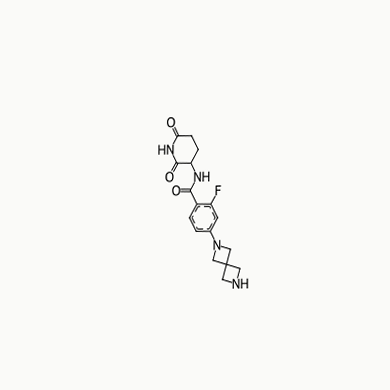 O=C1CCC(NC(=O)c2ccc(N3CC4(CNC4)C3)cc2F)C(=O)N1